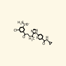 C=C(CCC(=O)c1cc(Cl)cc([S+](C)[O-])c1)c1ncnn1-c1ccc(C(=O)NC2CC2)cn1